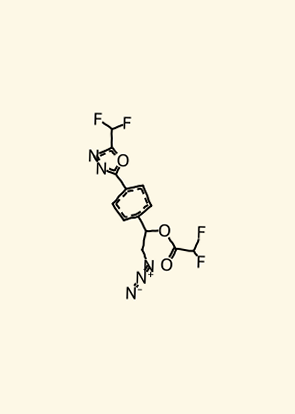 [N-]=[N+]=NCC(OC(=O)C(F)F)c1ccc(-c2nnc(C(F)F)o2)cc1